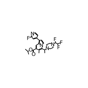 Cc1c(C(=O)OC(C)C)cc2c(-c3ccnc(F)c3)ccn2c1C(C)N1CCN(C(F)C(F)F)CC1